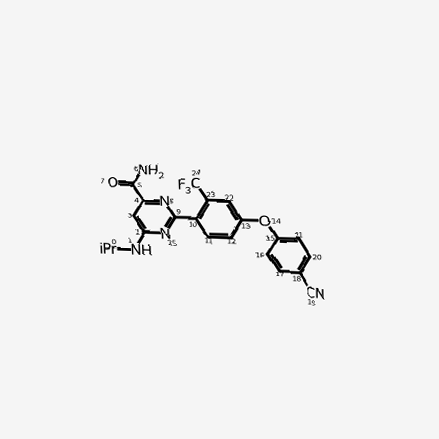 CC(C)Nc1cc(C(N)=O)nc(-c2ccc(Oc3ccc(C#N)cc3)cc2C(F)(F)F)n1